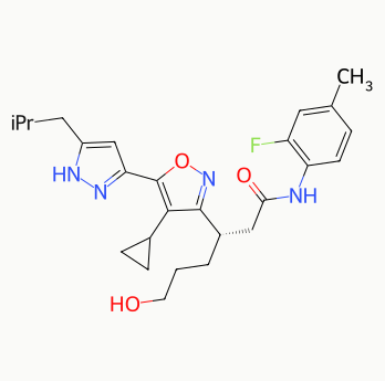 Cc1ccc(NC(=O)C[C@H](CCCO)c2noc(-c3cc(CC(C)C)[nH]n3)c2C2CC2)c(F)c1